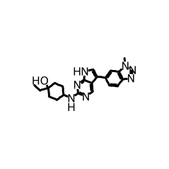 CCC1(O)CCC(Nc2ncc3c(-c4ccc5nnn(C)c5c4)c[nH]c3n2)CC1